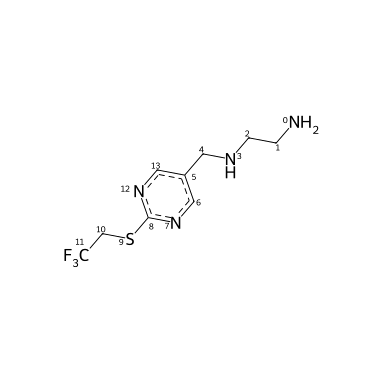 NCCNCc1cnc(SCC(F)(F)F)nc1